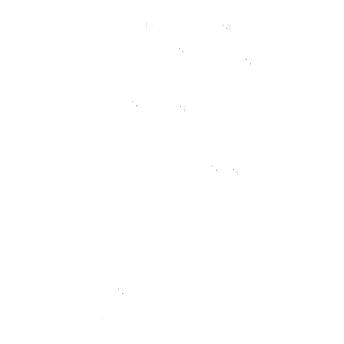 CCc1nc2c(N)ncc(-c3cnn(-c4ccc(C5CCN(C)CC5)cc4)c3)c2nc1N[C@@H]1CC[C@H](O)C1